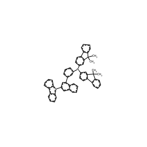 CC1(C)c2ccccc2-c2ccc(N(c3cccc(-c4cc(-n5c6ccccc6c6ccccc65)cc5ccccc45)c3)c3ccc4c(c3)C(C)(C)c3ccccc3-4)cc21